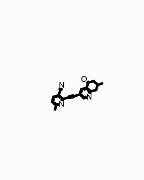 Cc1ccc(C#N)c(C#Cc2cnc3c(c2)C(=O)CC(C)C3)n1